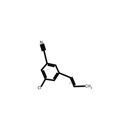 C/C=C/c1cc(Cl)cc(C#N)c1